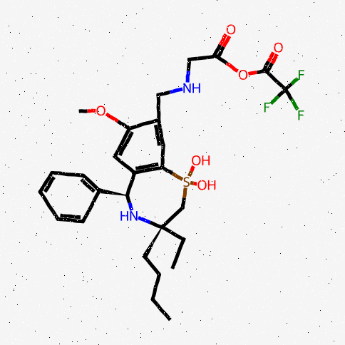 CCCC[C@]1(CC)CS(O)(O)c2cc(CNCC(=O)OC(=O)C(F)(F)F)c(OC)cc2[C@H](c2ccccc2)N1